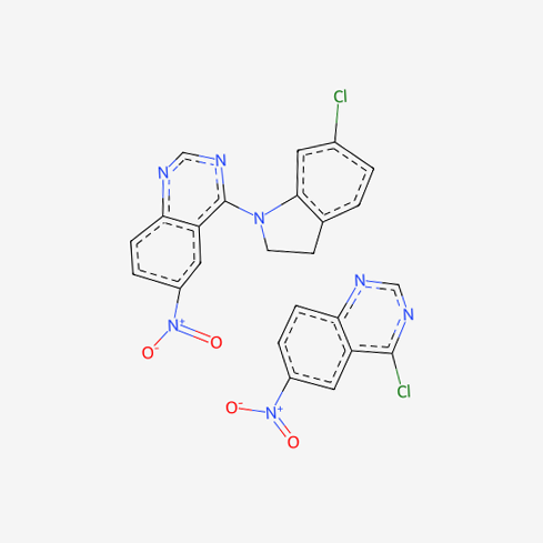 O=[N+]([O-])c1ccc2ncnc(Cl)c2c1.O=[N+]([O-])c1ccc2ncnc(N3CCc4ccc(Cl)cc43)c2c1